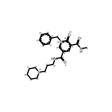 CNC(=O)c1cc(C(=O)NCCCN2CCCCC2)cn(Cc2ccccc2)c1=O